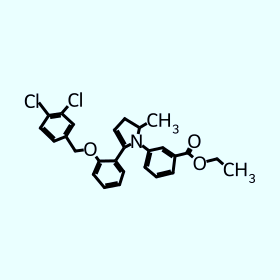 CCOC(=O)c1cccc(N2C(c3ccccc3OCc3ccc(Cl)c(Cl)c3)=CCC2C)c1